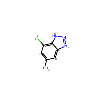 Cc1cc(Cl)c2[nH]nnc2c1